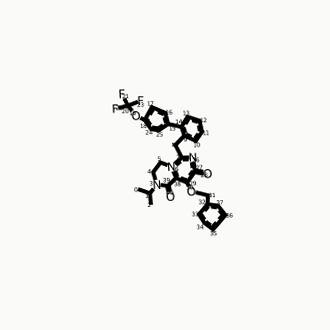 CC(C)N1CCn2c(Cc3ccccc3-c3ccc(OC(F)(F)F)cc3)nc(=O)c(OCc3ccccc3)c2C1=O